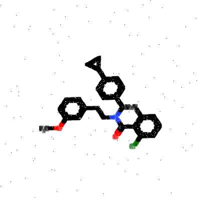 CNc1cccc(Cl)c1C(=O)N(CCc1cccc(OC(F)(F)F)c1)Cc1ccc(C2CC2)cc1